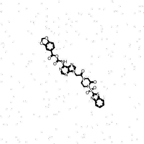 O=C(Nc1ncnc2c1ncn2CC(=O)N1CCN(S(=O)(=O)c2nc3ccccc3s2)C(=O)C1)OC(=O)c1ccc2c(c1)OCO2